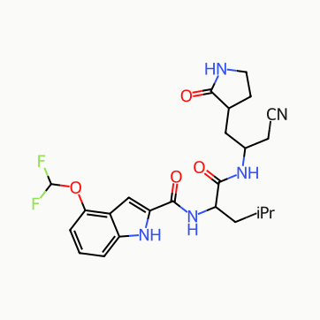 CC(C)CC(NC(=O)c1cc2c(OC(F)F)cccc2[nH]1)C(=O)NC(CC#N)CC1CCNC1=O